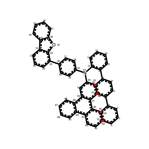 c1ccc(-c2ccc(-c3ccccc3N(c3ccc(-c4cccc5c4oc4ccccc45)cc3)c3ccc4c5ccccc5c5ccccc5c4c3)cc2)cc1